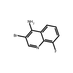 Nc1c(Br)cnc2c(F)cccc12